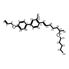 C=CCOc1ccc(-c2ccc(C=CCCCC(C)OCCCCC)c(F)c2)cc1